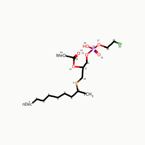 CCCCCCCCCCCCCCCCC(C)SCC(COP(=O)(O)OCCBr)OC(=O)OC